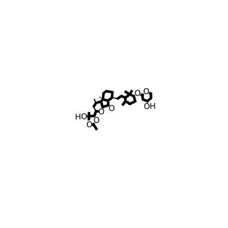 CC(=O)O[C@@H]([C@H]1C[C@@H](C)C2C(O1)C(=O)C1[C@H](CCC3C(C)CC[C@H](OC4C[C@@H](O)CCO4)C3(C)C)CCC[C@@]12C)C(C)(C)O